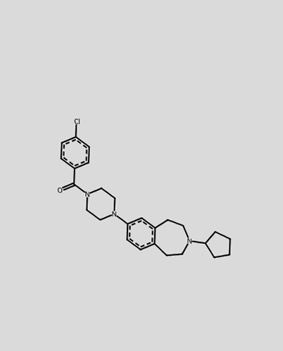 O=C(c1ccc(Cl)cc1)N1CCN(c2ccc3c(c2)CCN(C2CCCC2)CC3)CC1